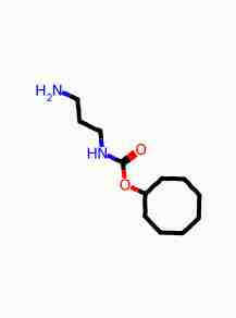 NCCCNC(=O)OC1CCCCCCC1